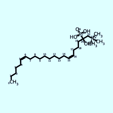 CCCCC/C=C\CCCCCCCC/C=C\CCCC(O)(C[N+](C)(C)C)P(=O)(O)O